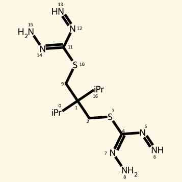 CC(C)C(CSC(N=N)=NN)(CSC(N=N)=NN)C(C)C